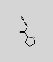 O=C(N=C=S)C1CCCO1